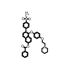 CS(=O)(=O)c1ccc(-c2ccc3cc(OC(=O)c4ccccc4)ccc3c2Oc2ccc(OCCN3CCCCC3)cc2)cc1